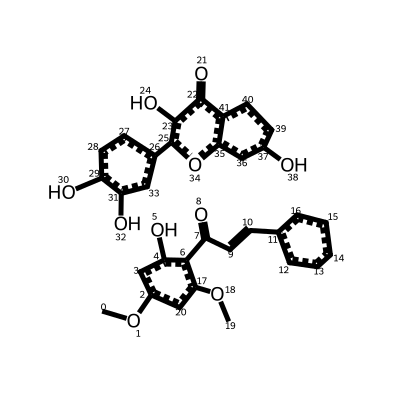 COc1cc(O)c(C(=O)C=Cc2ccccc2)c(OC)c1.O=c1c(O)c(-c2ccc(O)c(O)c2)oc2cc(O)ccc12